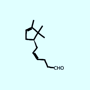 CC1=CC[C@H](C/C=C\CCC=O)C1(C)C